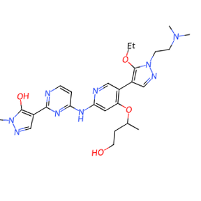 CCOc1c(-c2cnc(Nc3ccnc(-c4cnn(C)c4O)n3)cc2OC(C)CCO)cnn1CCN(C)C